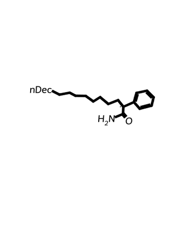 CCCCCCCCCCCCCCCCCC[C](C(N)=O)c1ccccc1